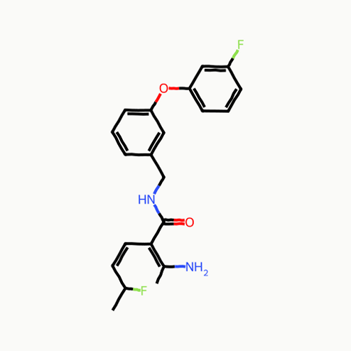 C/C(N)=C(\C=C/C(C)F)C(=O)NCc1cccc(Oc2cccc(F)c2)c1